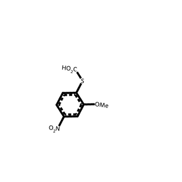 COc1cc([N+](=O)[O-])ccc1SC(=O)O